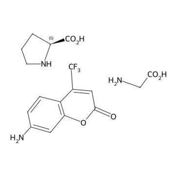 NCC(=O)O.Nc1ccc2c(C(F)(F)F)cc(=O)oc2c1.O=C(O)[C@@H]1CCCN1